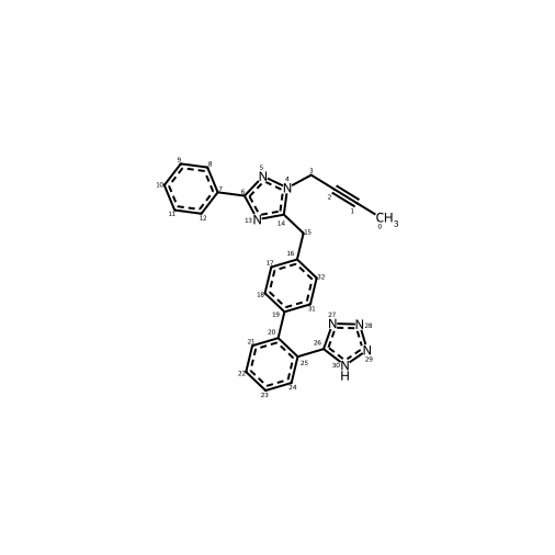 CC#CCn1nc(-c2ccccc2)nc1Cc1ccc(-c2ccccc2-c2nnn[nH]2)cc1